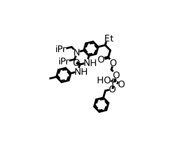 CCC(CC(=O)OCOP(=O)(O)OCc1ccccc1)c1ccc(N(CC(C)C)CC(C)C)c(NC(=O)Nc2ccc(C)cc2)c1